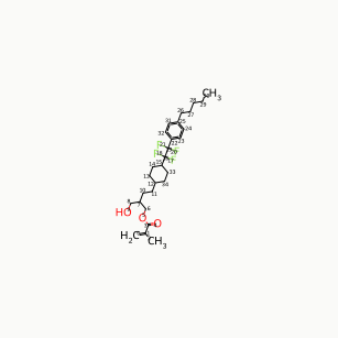 C=C(C)C(=O)OCC(CO)CCC1CCC(C(F)(F)C(F)(F)c2ccc(CCCCC)cc2)CC1